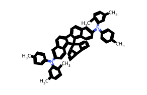 Cc1ccc(N(c2ccc3c4c(ccc3c2)-c2ccc3cc(N(c5ccc(C)cc5)c5cc(C)ccc5C)ccc3c2C42c3ccccc3-c3ccccc32)c2cc(C)ccc2C)cc1